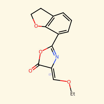 CCO/C=C1\N=C(c2cccc3c2OCC3)OC1=O